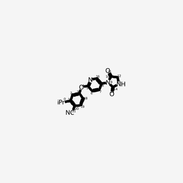 CC(C)c1cc(Oc2ccc(N3C(=O)CNC3=O)cn2)ccc1C#N